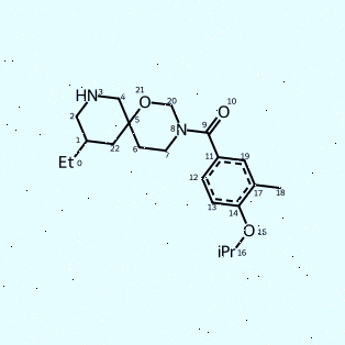 CCC1CNCC2(CCN(C(=O)c3ccc(OC(C)C)c(C)c3)CO2)C1